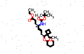 CCOC(=O)CC[C@H](C=CC[C@H](OC1CCCCO1)C1(CC)CCC1)NC(=O)OC(C)(C)C